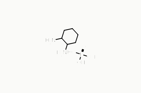 NC1CCCCC1N.O=P(O)(O)O